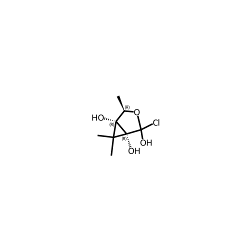 C[C@H]1OC(O)(Cl)[C@@]2(O)C(C)(C)[C@@]12O